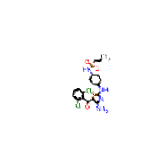 Nc1nc(NC2CCC(NS(=O)(=O)CCC(F)(F)F)CC2)sc1C(=O)c1c(Cl)cccc1Cl